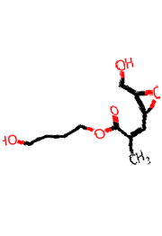 CC(=CC1OC1CO)C(=O)OCCCCO